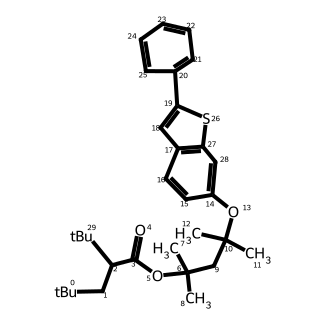 CC(C)(C)CC(C(=O)OC(C)(C)CC(C)(C)Oc1ccc2cc(-c3ccccc3)sc2c1)C(C)(C)C